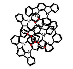 c1ccc(-n2c3ccccc3c3ccc4c5ccccc5n(-c5cc(-c6cccc(-c7cccc(-c8cccc(-c9cc(-n%10c%11ccccc%11c%11ccc%12c%13ccccc%13n(-c%13ccccc%13)c%12c%11%10)cc(-n%10c%11ccccc%11c%11ccc%12c%13ccccc%13n(-c%13ccccc%13)c%12c%11%10)c9)n8)c7)n6)cc(-n6c7ccccc7c7ccc8c9ccccc9n(-c9ccccc9)c8c76)c5)c4c32)cc1